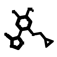 Nc1cc(OCC2CC2)c(-n2ncoc2=O)cc1Cl